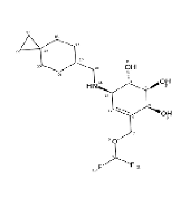 O[C@@H]1[C@@H](O)[C@@H](O)C(COC(F)F)=C[C@H]1NCC1CCC2(CC1)CC2